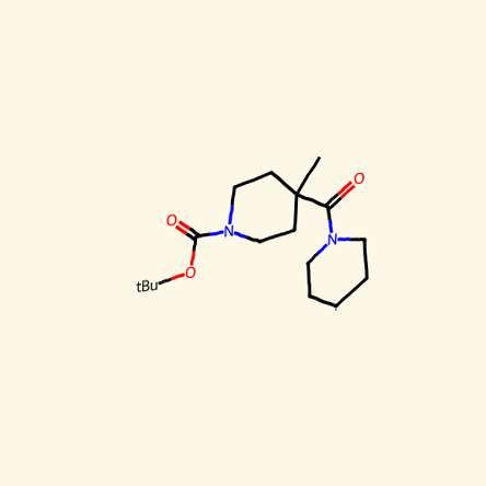 CC(C)(C)OC(=O)N1CCC(C)(C(=O)N2CC[CH]CC2)CC1